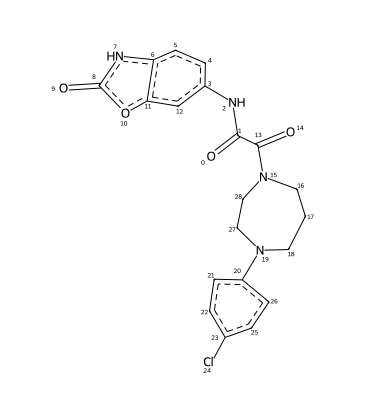 O=C(Nc1ccc2[nH]c(=O)oc2c1)C(=O)N1CCCN(c2ccc(Cl)cc2)CC1